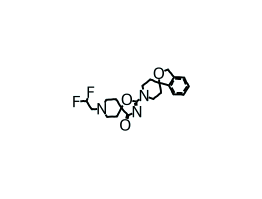 O=C1N=C(N2CCC3(CC2)OCc2ccccc23)OC12CCN(CC(F)F)CC2